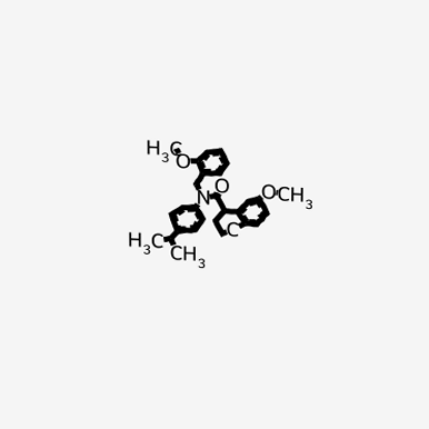 COc1ccc2c(c1)C(C(=O)N(Cc1ccccc1OC)c1ccc(C(C)C)cc1)CCC2